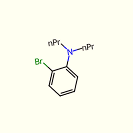 CCCN(CCC)c1ccccc1Br